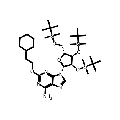 CC(C)(C)[Si](C)(C)OC[C@H]1O[C@@H](n2cnc3c(N)nc(OCCC4CCCCC4)nc32)[C@H](O[Si](C)(C)C(C)(C)C)[C@@H]1O[Si](C)(C)C(C)(C)C